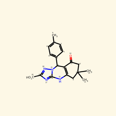 Cc1ccc(C2C3=C(CC(C)(C)CC3=O)Nc3nc(C(=O)O)nn32)cc1